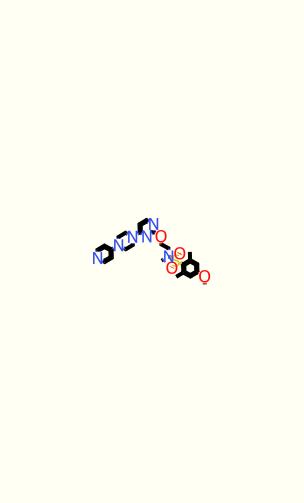 COc1cc(C)c(S(=O)(=O)N(C)CCOc2nccc(N3CCN(c4ccncc4)CC3)n2)c(C)c1